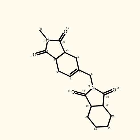 CN1C(=O)C2CC=C(CN3C(=O)C4CCCCC4C3=O)CC2C1=O